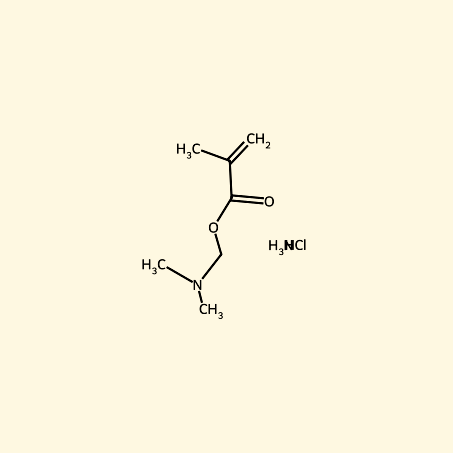 C=C(C)C(=O)OCN(C)C.Cl.N